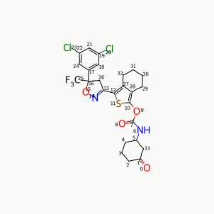 O=C1CCCC(NC(=O)Oc2sc(C3=NOC(c4cc(Cl)cc(Cl)c4)(C(F)(F)F)C3)c3c2CCCC3)C1